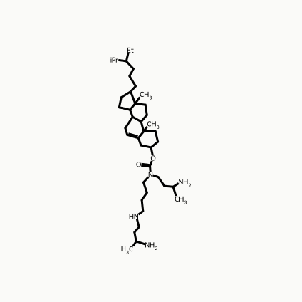 CCC(CCCC1CCC2C3CC=C4CC(OC(=O)N(CCCCNCCC(C)N)CCC(C)N)CCC4(C)C3CCC12C)C(C)C